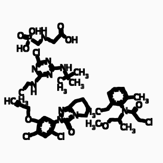 C#CCOc1cc(-n2nc3n(c2=O)CCCC3)c(Cl)cc1Cl.CCNc1nc(Cl)nc(NC(C)(C)C)n1.CCc1cccc(C)c1N(C(=O)CCl)C(C)COC.O=C(O)CNCP(=O)(O)O